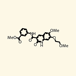 COCCOc1cc2[nH]c(=O)c(C(=O)Nc3cccc(C(=O)OC)c3)cc2cc1OC